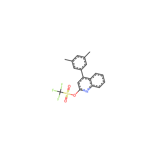 Cc1cc(C)cc(-c2cc(OS(=O)(=O)C(F)(F)F)nc3ccccc23)c1